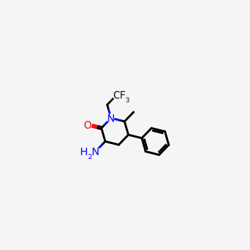 CC1C(c2ccccc2)CC(N)C(=O)N1CC(F)(F)F